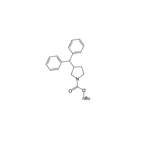 CCCCOC(=O)N1CCC(C(c2ccccc2)c2ccccc2)C1